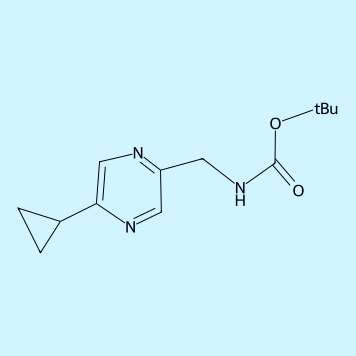 CC(C)(C)OC(=O)NCc1cnc(C2CC2)cn1